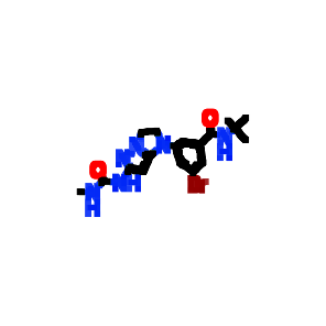 CNC(=O)Nc1cc2n(n1)CCN2c1cc(Br)cc(C(=O)NC(C)(C)C)c1